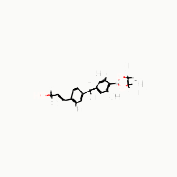 CCC(O)(C=Cc1ccc(C(CC)(CC)c2cc(C)c(B3OC(C)(C)C(C)(C)O3)c(C)c2)cc1C)CC